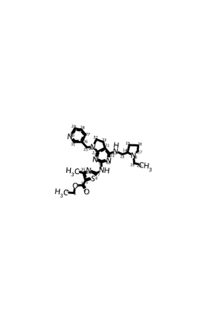 CCOC(=O)c1sc(Nc2nc(NCC3CCCN3CC)c3c(n2)N(Cc2cccnc2)CC3)nc1C